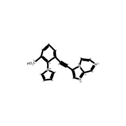 O=C(O)c1cccc(C#Cc2cnc3cnccn23)c1-n1cccc1